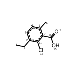 CCc1ccc(C)c(C(=O)O)c1Cl